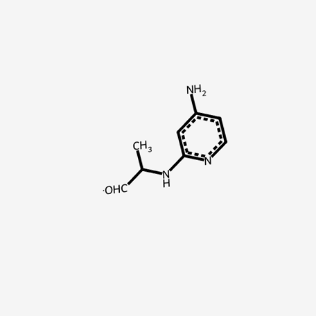 CC([C]=O)Nc1cc(N)ccn1